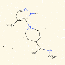 Cn1ncc([N+](=O)[O-])c1N1CCC(C(NC(=O)O)C(C)(C)C)CC1